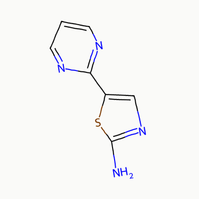 Nc1ncc(-c2ncccn2)s1